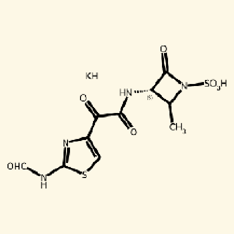 CC1[C@H](NC(=O)C(=O)c2csc(NC=O)n2)C(=O)N1S(=O)(=O)O.[KH]